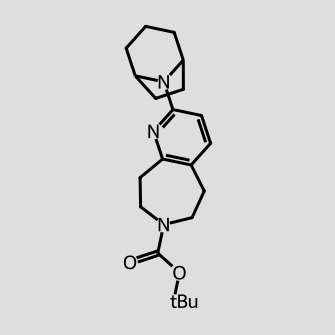 CC(C)(C)OC(=O)N1CCc2ccc(N3C4CCCC3CC4)nc2CC1